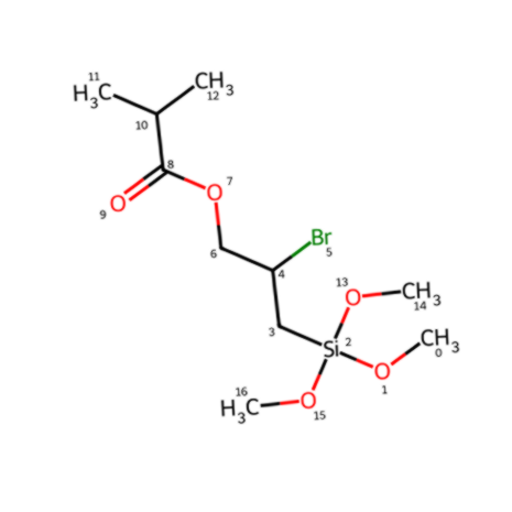 CO[Si](CC(Br)COC(=O)C(C)C)(OC)OC